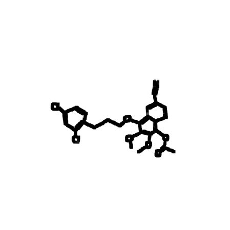 COc1c(OC)c(OC(C)=O)c2ccc(C#N)cc2c1OCCCc1ccc(Cl)cc1Cl